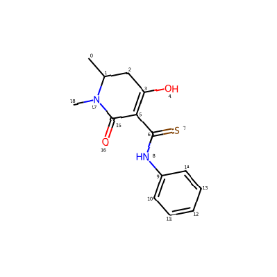 CC1CC(O)=C(C(=S)Nc2ccccc2)C(=O)N1C